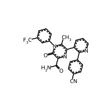 Cc1c(-c2cccnc2-c2ccc(C#N)cc2)nc(C(N)=O)c(=O)n1-c1cccc(C(F)(F)F)c1